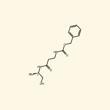 CC(C)(C)[C@H](CO)NC(=O)CCNC(=O)OCc1ccccc1